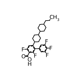 CCCC1CCC(C2CCC(c3cc(F)c(C(=O)O)c(F)c3-c3cc(F)c(F)c(F)c3)CC2)CC1